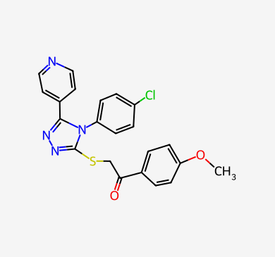 COc1ccc(C(=O)CSc2nnc(-c3ccncc3)n2-c2ccc(Cl)cc2)cc1